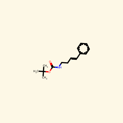 CC(C)(C)OC(=O)NCCC=Cc1ccccc1